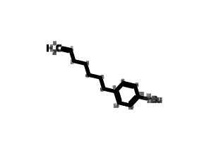 C=CCCCCCc1ccc(CCCC)cc1